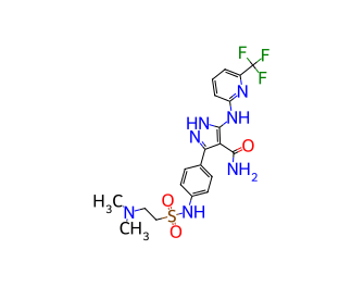 CN(C)CCS(=O)(=O)Nc1ccc(-c2n[nH]c(Nc3cccc(C(F)(F)F)n3)c2C(N)=O)cc1